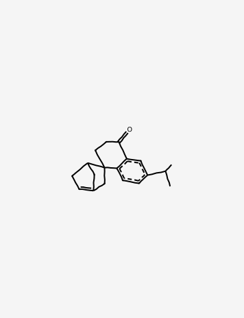 CC(C)c1ccc2c(c1)C(=O)CCC21CC2=CCC1C2